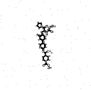 CC(C)OC(=O)N1CCC(C(C)Oc2ccc(-c3ccc(CC(NC(=O)OC(C)(C)C)C(=O)N4CCCC4)c(F)c3)cn2)CC1